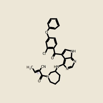 C/C=C(\C#N)C(=O)N1CCCCC(Nc2ncnc3[nH]cc(C(=O)c4ccc(Oc5ccccc5)cc4Cl)c23)C1